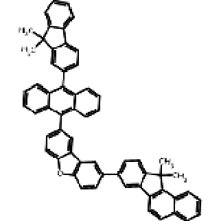 CC1(C)c2ccccc2-c2ccc(-c3c4ccccc4c(-c4ccc5oc6ccc(-c7ccc8c(c7)-c7ccc9ccccc9c7C8(C)C)cc6c5c4)c4ccccc34)cc21